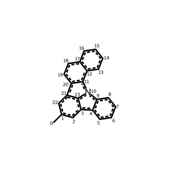 Cc1cc2c3ccccc3n3c4c5ccccc5ccc4c(c1)c23